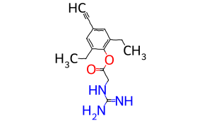 C#Cc1cc(CC)c(OC(=O)CNC(=N)N)c(CC)c1